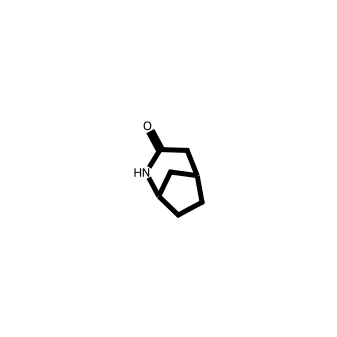 O=C1CC2CCC(C2)N1